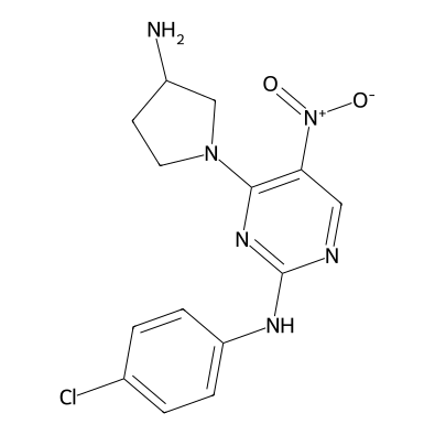 NC1CCN(c2nc(Nc3ccc(Cl)cc3)ncc2[N+](=O)[O-])C1